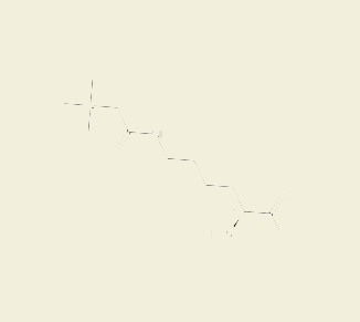 C[Si](C)(C)CC(=O)NCCCC[C@H](N)C(=O)O